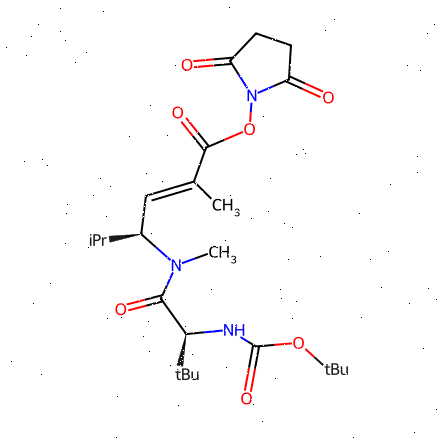 C/C(=C\[C@H](C(C)C)N(C)C(=O)[C@@H](NC(=O)OC(C)(C)C)C(C)(C)C)C(=O)ON1C(=O)CCC1=O